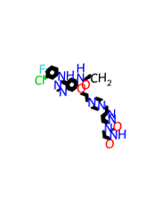 C=CC(=O)Nc1cc2c(Nc3ccc(F)c(Cl)c3)ncnc2cc1OCCCN1CCN(Cc2ccc(N3CCC(=O)NC3=O)nn2)CC1